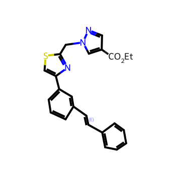 CCOC(=O)c1cnn(Cc2nc(-c3cccc(/C=C/c4ccccc4)c3)cs2)c1